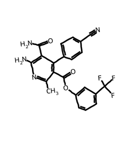 Cc1nc(N)c(C(N)=O)c(-c2ccc(C#N)cc2)c1C(=O)Oc1cccc(C(F)(F)F)c1